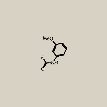 COc1cccc(NC(=O)F)c1